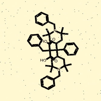 CC1(C)CC(C(c2ccccc2)(C2CC(C)(C)N(Cc3ccccc3)C(C)(C)C2)C(Cc2ccccc2)(C(=O)O)C(=O)O)CC(C)(C)N1Cc1ccccc1